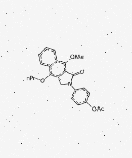 CCCOc1c2c(c(OC)c3ccccc13)C(=O)N(c1ccc(OC(C)=O)cc1)C2